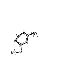 N#CSc1cc[c]c([N+](=O)[O-])c1